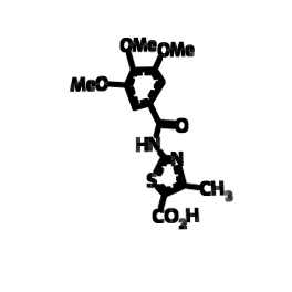 COc1cc(C(=O)Nc2nc(C)c(C(=O)O)s2)cc(OC)c1OC